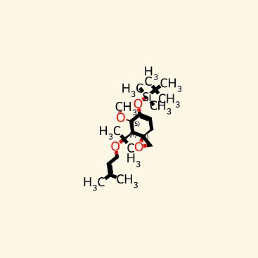 CO[C@@H]1C(O[Si](C)(C)C(C)(C)C)=CC[C@]2(CO2)[C@H]1C(C)(C)OCC=C(C)C